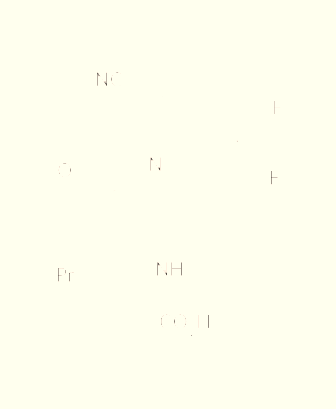 CC(C)C(NC(=O)O)C(=O)N1CC(F)(F)C[C@H]1C#N